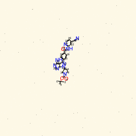 CC(C)(C)OC(=O)N1CC[C@@H](n2nc(-c3ccc(C(=O)Nc4cc(C#N)ccn4)cc3)c3c(N)ncnc32)C1